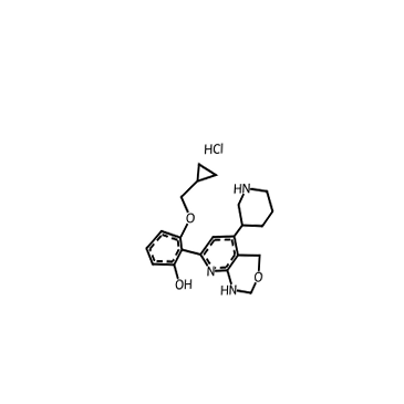 Cl.Oc1cccc(OCC2CC2)c1-c1cc(C2CCCNC2)c2c(n1)NCOC2